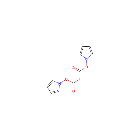 O=C(OC(=O)On1cccc1)On1cccc1